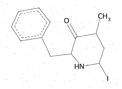 CC1CC(I)NC(Cc2ccccc2)C1=O